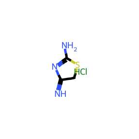 Cl.N=C1CSC(N)=N1